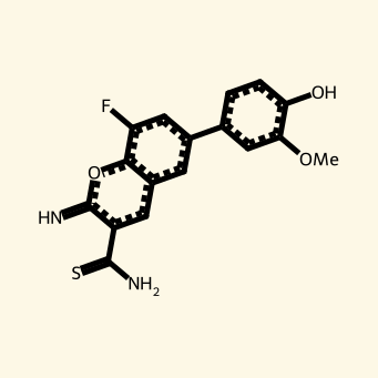 COc1cc(-c2cc(F)c3oc(=N)c(C(N)=S)cc3c2)ccc1O